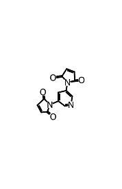 O=C1C=CC(=O)N1c1cncc(N2C(=O)C=CC2=O)c1